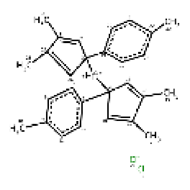 CC1=C[C]([Hf+2][C]2(c3ccc(C)cc3)C=C(C)C(C)=C2)(c2ccc(C)cc2)C=C1C.[Cl-].[Cl-]